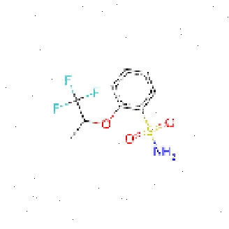 CC(Oc1ccccc1S(N)(=O)=O)C(F)(F)F